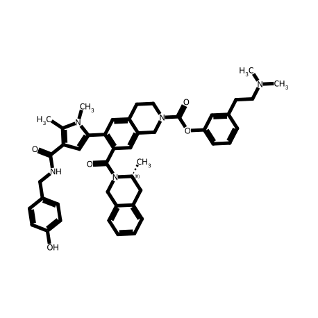 Cc1c(C(=O)NCc2ccc(O)cc2)cc(-c2cc3c(cc2C(=O)N2Cc4ccccc4C[C@H]2C)CN(C(=O)Oc2cccc(CCN(C)C)c2)CC3)n1C